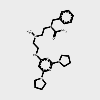 CN(CCNc1cc(N2CCCC2)nc(N2CCCC2)n1)CCN(Cc1ccccc1)C(N)=O